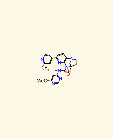 COc1cc(NC(=O)N2c3nc(-c4ccnc(C(F)(F)F)c4)ccc3N3CC[C@H]2C3)ncn1